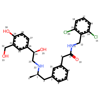 C[C@H](Cc1cccc(CC(=O)NCc2c(Cl)cccc2Cl)c1)NC[C@H](O)c1ccc(O)c(CO)c1